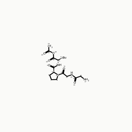 CC[C@H](C)[C@H](NC(=O)[C@@H]1CCCN1C(=O)CNC(=O)CN)C(=O)OC(=O)C(F)(F)F